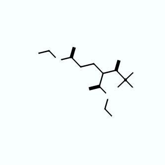 CCOC(=O)CCC(C(=O)OCC)C(=O)C(F)(F)F